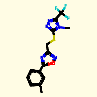 Cc1cccc(-c2nc(CSc3nnc(C(F)(F)F)n3C)no2)c1